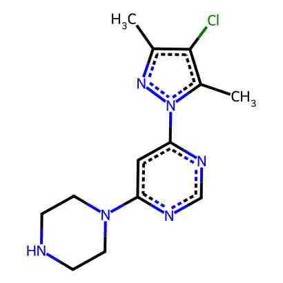 Cc1nn(-c2cc(N3CCNCC3)ncn2)c(C)c1Cl